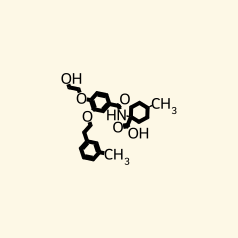 Cc1cccc(CCOc2cc(C(=O)N[C@]3(C(=O)O)CC[C@H](C)CC3)ccc2OCCO)c1